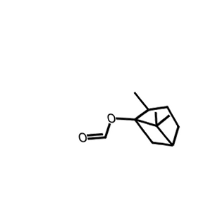 CC1CCC2CC1(OC=O)C2(C)C